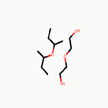 CCC(C)OC(C)CC.OCCOCCO